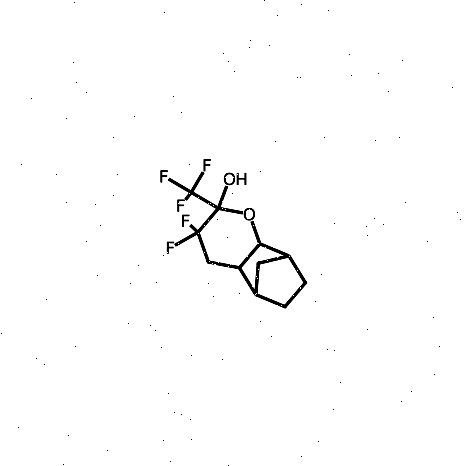 OC1(C(F)(F)F)OC2C3CCC(C3)C2CC1(F)F